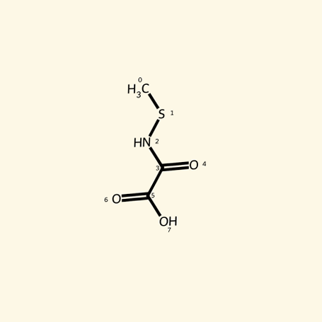 CSNC(=O)C(=O)O